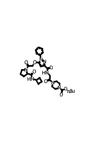 CCCCOC(=O)N1CCN(C(=O)CNC(=O)c2cc(OCC(=O)N3CCCC3C(=O)NC3CCC3)n(-c3ccccc3)n2)CC1